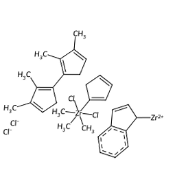 CC1=CCC(C2=C(C)C(C)=CC2)=C1C.[CH3][Zr]([CH3])([CH3])([Cl])([Cl])[C]1=CC=CC1.[Cl-].[Cl-].[Zr+2][CH]1C=Cc2ccccc21